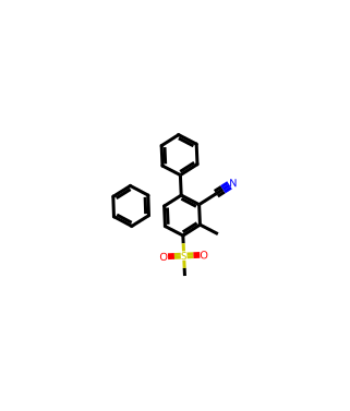 Cc1c(S(C)(=O)=O)ccc(-c2ccccc2)c1C#N.c1ccccc1